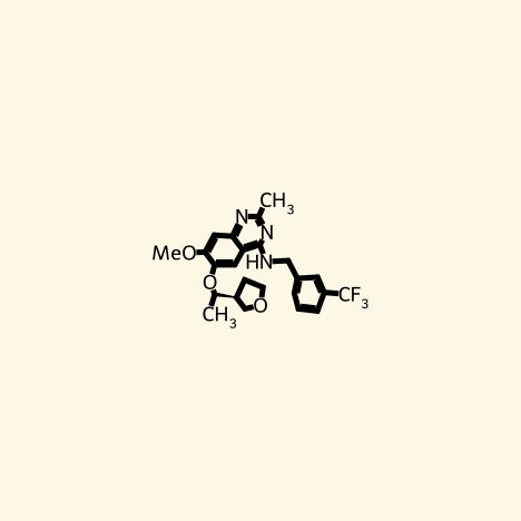 COc1cc2nc(C)nc(NCc3cccc(C(F)(F)F)c3)c2cc1OC(C)[C@H]1CCOC1